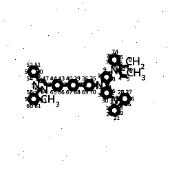 C=Cc1c(/C=C\C)n(-c2ccc3c(c2)c2cc(-n4c5ccccc5c5ccccc54)ccc2n3-c2ccc(-c3ccc(-c4ccc(-c5cc(-c6ccccc6)nc(-c6ccccc6C)n5)cc4)cc3)cc2)c2ccccc12